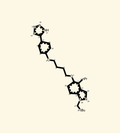 CCCc1c(OCCCCOc2ccc(-c3nnn[nH]3)cc2)ccc2c1cnn2CC(C)(C)C